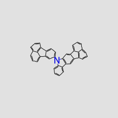 c1cc2c3c(cccc3c1)-c1cc(-n3c4ccccc4c4cc5c(cc43)-c3cccc4cccc-5c34)ccc1-2